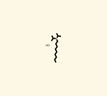 CCCCCCCCCN(C(C)C)C(C)C.Cl